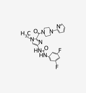 CCn1cc(NC(=O)Nc2cc(F)cc(F)c2)nc1C(=O)N1CCN(c2ccccn2)CC1